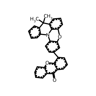 CC1(C)c2ccccc2N2c3ccc(-c4cccc5c(=O)c6ccccc6oc45)cc3Oc3cccc1c32